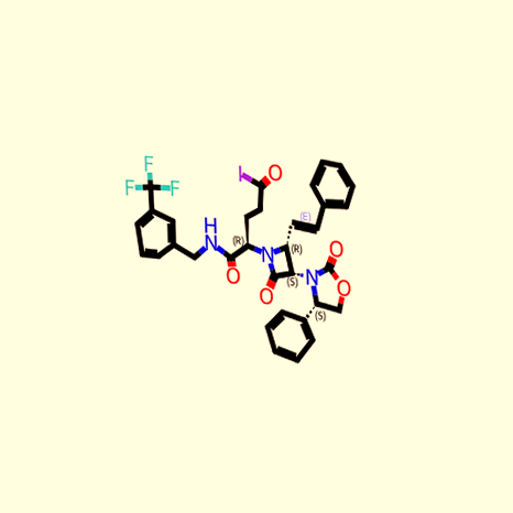 O=C(I)CC[C@H](C(=O)NCc1cccc(C(F)(F)F)c1)N1C(=O)[C@@H](N2C(=O)OC[C@@H]2c2ccccc2)[C@H]1/C=C/c1ccccc1